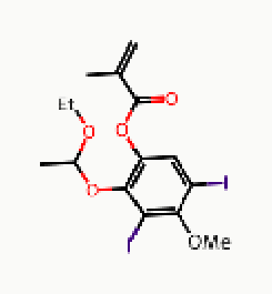 C=C(C)C(=O)Oc1cc(I)c(OC)c(I)c1OC(C)OCC